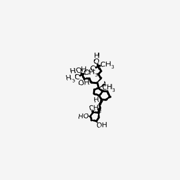 C=C1/C(=C\C=C2/CCC[C@@]3(C)[C@H]2CC[C@]3(I)[C@H](CCCC(C)(C)O)CC[C@@H](O)C(C)(C)O)C[C@@H](O)C[C@@H]1O